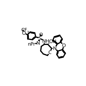 CCCN=S(=O)(N[C@@H]1CCCCC[C@@H](N2c3ccccc3Oc3ccccc32)[C@H]1O)c1ccc(OC(F)(F)F)cc1